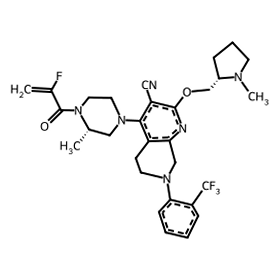 C=C(F)C(=O)N1CCN(c2c(C#N)c(OC[C@@H]3CCCN3C)nc3c2CCN(c2ccccc2C(F)(F)F)C3)C[C@@H]1C